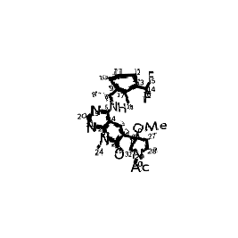 CO[C@@]1(c2cc3c(N[C@H](C)c4cccc(C(F)F)c4C)ncnc3n(C)c2=O)CCN(C(C)=O)C1